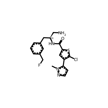 Cn1nccc1-c1cc(C(=O)N[C@H](CN)Cc2cccc(CF)c2)sc1Cl